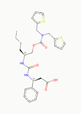 CCCC[C@@H](COC(=O)N(Cc1cccs1)Cc1cccs1)NC(=O)N[C@@H](CC(=O)O)c1ccccc1